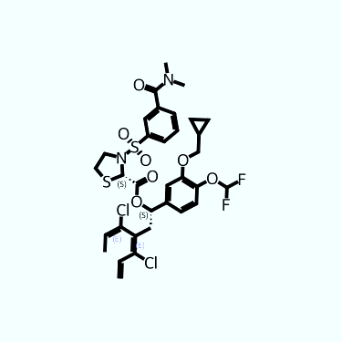 C=C/C(Cl)=C(C[C@H](OC(=O)[C@@H]1SCCN1S(=O)(=O)c1cccc(C(=O)N(C)C)c1)c1ccc(OC(F)F)c(OCC2CC2)c1)\C(Cl)=C/C